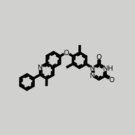 Cc1cc2cc(Oc3c(C)cc(-n4ncc(=O)[nH]c4=O)cc3C)ccc2nc1-c1ccccc1